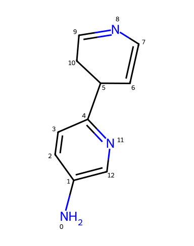 Nc1ccc(C2C=CN=CC2)nc1